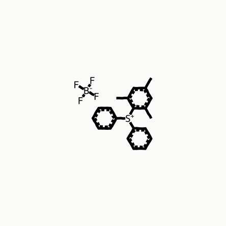 Cc1cc(C)c([S+](c2ccccc2)c2ccccc2)c(C)c1.F[B-](F)(F)F